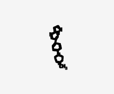 CN1CCN(c2ccc(-c3cnc4ccnn4c3)cc2)CC1